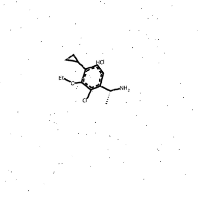 CCOc1c(C2CC2)ccc([C@@H](C)N)c1Cl.Cl